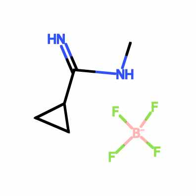 CNC(=N)C1CC1.F[B-](F)(F)F